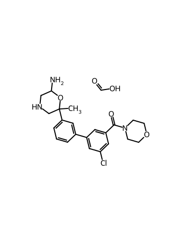 CC1(c2cccc(-c3cc(Cl)cc(C(=O)N4CCOCC4)c3)c2)CNCC(N)O1.O=CO